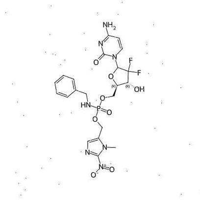 Cn1c(COP(=O)(NCc2ccccc2)OC[C@H]2OC(n3ccc(N)nc3=O)C(F)(F)[C@@H]2O)cnc1[N+](=O)[O-]